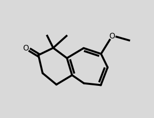 COC1=CC2=C(CC=C1)CCC(=O)C2(C)C